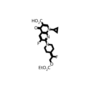 CCOC(=O)OCC(F)=C1CCN(c2nc3c(cc2F)c(=O)c(C(=O)O)cn3C2CC2)CC1